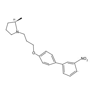 C[C@@H]1CCCN1CCCOc1ccc(-c2cc[c]c([N+](=O)[O-])c2)cc1